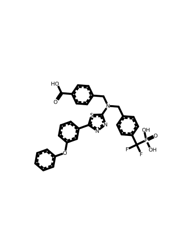 O=C(O)c1ccc(CN(Cc2ccc(C(F)(F)P(=O)(O)O)cc2)c2nnc(-c3cccc(Oc4ccccc4)c3)s2)cc1